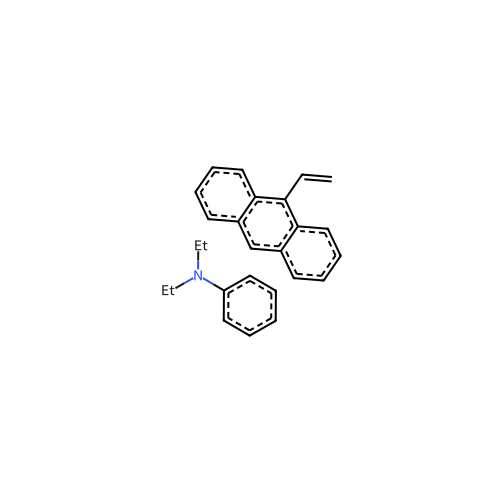 C=Cc1c2ccccc2cc2ccccc12.CCN(CC)c1ccccc1